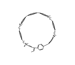 C=[N+]1/C=C\C(=C/C)c2ccc(cc2)-c2cc[n+](cc2)Cc2ccc(cc2)C[n+]2ccc(cc2)-c2ccc(cc2)-c2cc[n+](cc2)Cc2ccc(cc2)C1